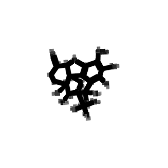 [2H]c1c([2H])c2c3c(c1OC)OC1C(=O)CC[C@@H]4[C@@]31CCN(C([2H])([2H])[2H])[C@]4([2H])C2([2H])[2H]